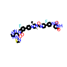 CC[C@@H]1CN(C(=O)CN2CCC(c3ccc(N[C@H]4CCC(=O)NC4=O)cc3F)CC2)[C@H](C)CN1c1ccc(-c2cc(F)c3c(c2)C(=O)N(C(C(=O)Nc2nccs2)c2ncn4c2CCC4)C3)cc1